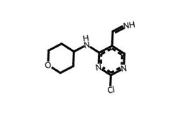 N=Cc1cnc(Cl)nc1NC1CCOCC1